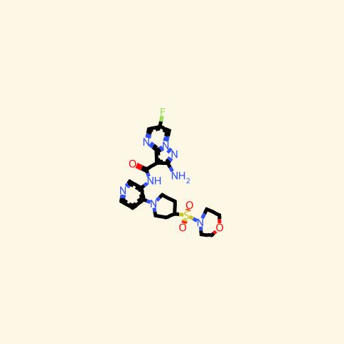 Nc1nn2cc(F)cnc2c1C(=O)Nc1cnccc1N1CCC(S(=O)(=O)N2CCOCC2)CC1